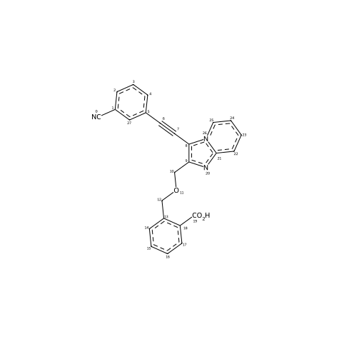 N#Cc1cccc(C#Cc2c(COCc3ccccc3C(=O)O)nc3ccccn23)c1